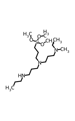 CCCNCCCN(CCCN(C)CC)CCC[Si](OC)(OC)OC